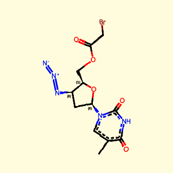 Cc1cn([C@H]2C[C@@H](N=[N+]=[N-])[C@@H](COC(=O)CBr)O2)c(=O)[nH]c1=O